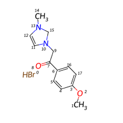 Br.COc1ccc(C(=O)CN2C=CN(C)C2)cc1